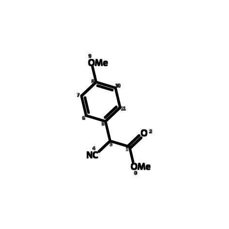 COC(=O)C(C#N)c1ccc(OC)cc1